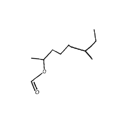 CCC(C)CCCC(C)OC=O